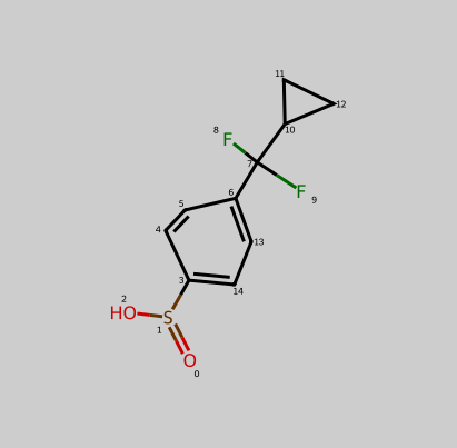 O=S(O)c1ccc(C(F)(F)C2CC2)cc1